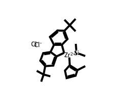 CC1=[C]([Zr+2]([CH]2c3cc(C(C)(C)C)ccc3-c3ccc(C(C)(C)C)cc32)=[Si](C)C)CC=C1.[Cl-].[Cl-]